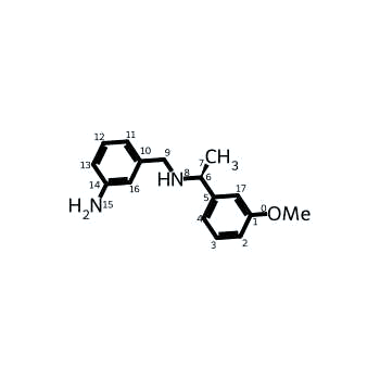 COc1cccc([C@H](C)NCc2cccc(N)c2)c1